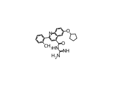 Cc1ccccc1-c1cc(C(=O)NC(=N)N)c2cc(OC3CCCC3)ccc2n1